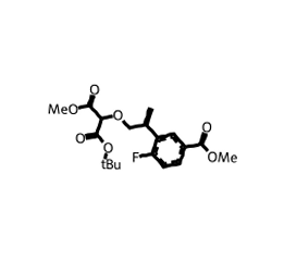 C=C(COC(C(=O)OC)C(=O)OC(C)(C)C)c1cc(C(=O)OC)ccc1F